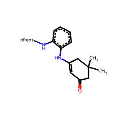 CCCCCNc1ccccc1NC1=CC(=O)CC(C)(C)C1